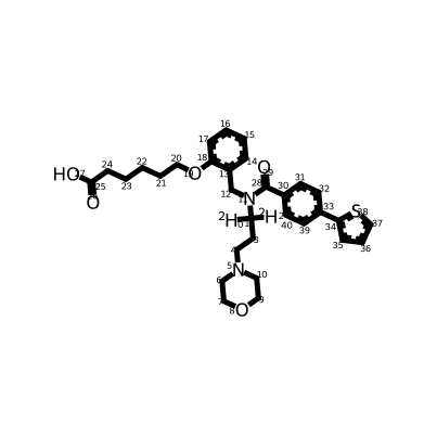 [2H]C([2H])(CCN1CCOCC1)N(Cc1ccccc1OCCCCCC(=O)O)C(=O)c1ccc(-c2cccs2)cc1